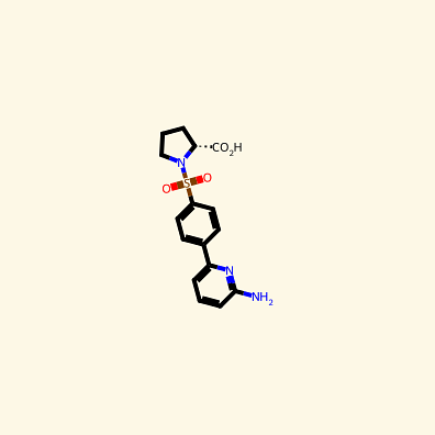 Nc1cccc(-c2ccc(S(=O)(=O)N3CCC[C@@H]3C(=O)O)cc2)n1